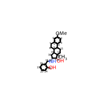 COc1ccc2c(c1)CCC1C2CC[C@@]2(C)C1C[C@@H](NCc1ccccc1O)[C@@H]2O